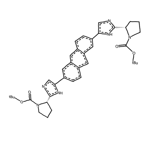 CC(C)(C)OC(=O)N1CCC[C@H]1c1ncc(-c2ccc3cc4cc(-c5cnc([C@@H]6CCCN6C(=O)OC(C)(C)C)[nH]5)ccc4cc3c2)[nH]1